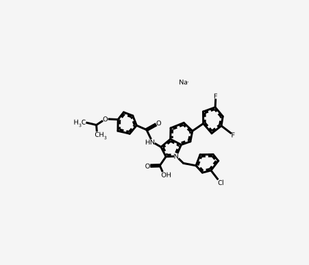 CC(C)Oc1ccc(C(=O)Nc2c(C(=O)O)n(Cc3cccc(Cl)c3)c3cc(-c4cc(F)cc(F)c4)ccc23)cc1.[Na]